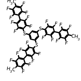 Cc1c(F)c(F)c(-c2c(F)c(F)c(Sc3cc(Sc4c(F)c(F)c(-c5c(F)c(F)c(C)c(F)c5F)c(F)c4F)cc(Sc4c(F)c(F)c(-c5c(F)c(F)c(C)c(F)c5F)c(F)c4F)c3)c(F)c2F)c(F)c1F